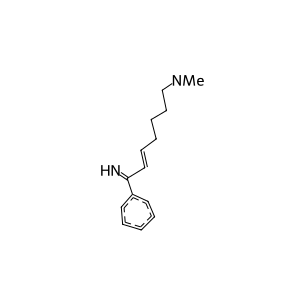 CNCCCC/C=C/C(=N)c1ccccc1